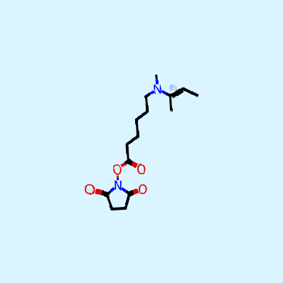 C/C=C(\C)N(C)CCCCCC(=O)ON1C(=O)CCC1=O